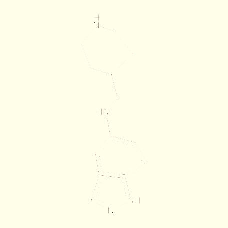 c1cc2[nH]ncc2cc1NCC1CCNCC1